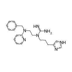 N=C(N)N(CCCc1c[nH]cn1)CCN(Cc1ccccc1)c1ccccn1